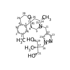 Cc1ccc2c(c1)[C@]1(CCN(Cc3cnn(CC(C)(CO)CO)c3)[C@@H](C)C1)OCC2